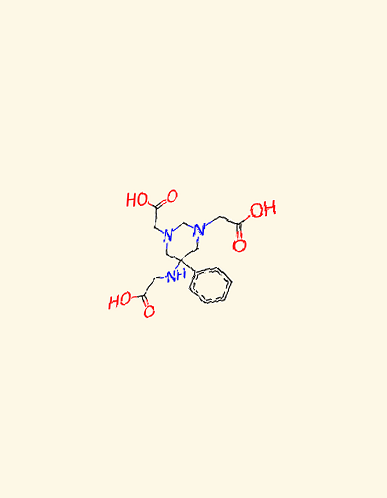 O=C(O)CNC1(c2ccccc2)CN(CC(=O)O)CN(CC(=O)O)C1